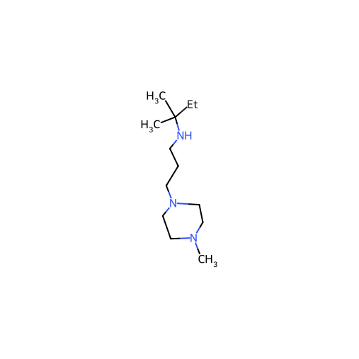 CCC(C)(C)NCCCN1CCN(C)CC1